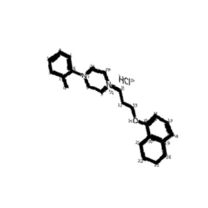 Cc1ccccc1N1CCN(CCCOc2cccc3c2CCCC3)CC1.Cl